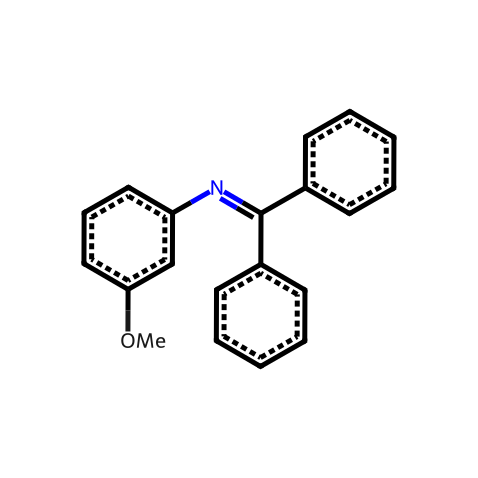 COc1cccc(N=C(c2ccccc2)c2ccccc2)c1